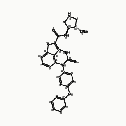 CO[C@H]1CNC[C@@H]1NC(=O)c1sc2nccc3c2c1NC(=O)N3c1ccc(Oc2ccccc2)cc1